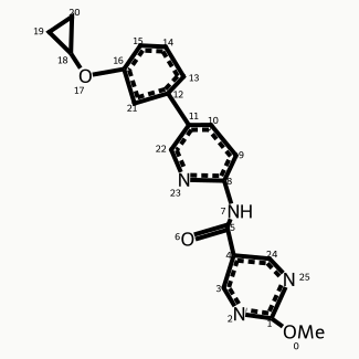 COc1ncc(C(=O)Nc2ccc(-c3cccc(OC4CC4)c3)cn2)cn1